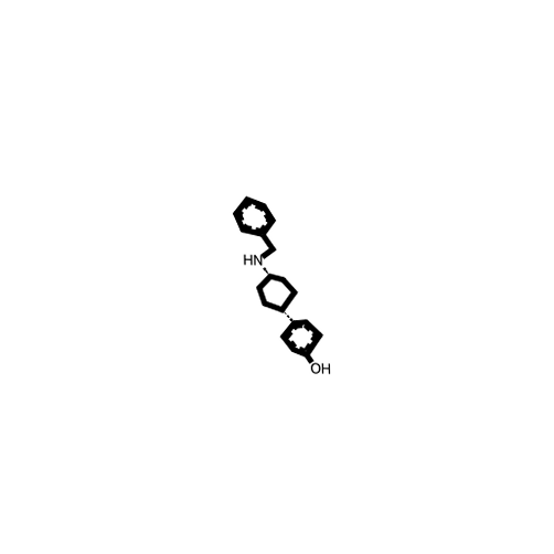 Oc1ccc([C@H]2CC[C@@H](NCc3ccccc3)CC2)cc1